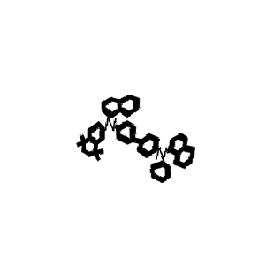 CC1(C)CCC(C)(C)c2cc(N(c3ccc(-c4ccc(N(c5ccccc5)c5cccc6ccccc56)cc4)cc3)c3cccc4ccccc34)ccc21